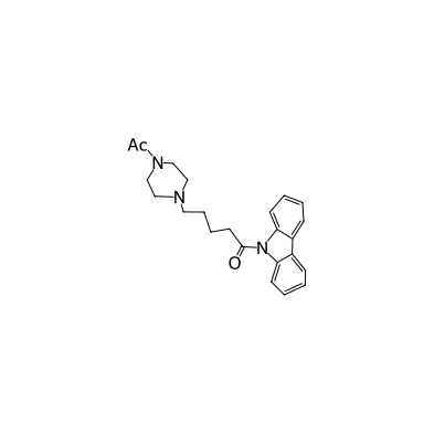 CC(=O)N1CCN(CCCCC(=O)n2c3ccccc3c3ccccc32)CC1